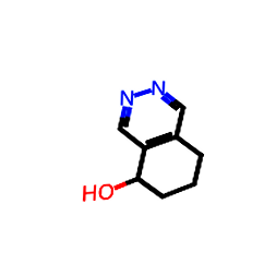 OC1CCCc2cnncc21